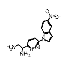 NCC(N)c1ccc(-n2ccc3cc([N+](=O)[O-])ccc32)nn1